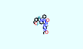 C=CC(=O)N1CCN(c2nc(=O)n(-c3ccccc3C(C)C)c3nc(-c4c(F)ccc5ccoc45)c(F)cc23)[C@@H](C)C1